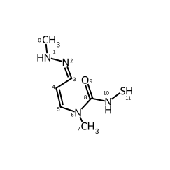 CN/N=C\C=C/N(C)C(=O)NS